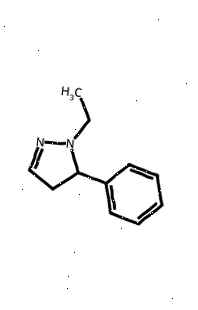 CCN1N=CCC1c1ccccc1